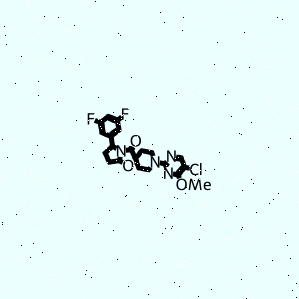 COc1nc(N2CCC3(CC2)OC2CCC(c4cc(F)cc(F)c4)N2C3=O)ncc1Cl